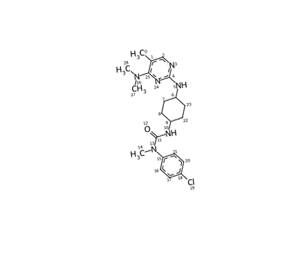 Cc1cnc(NC2CCC(NC(=O)N(C)c3ccc(Cl)cc3)CC2)nc1N(C)C